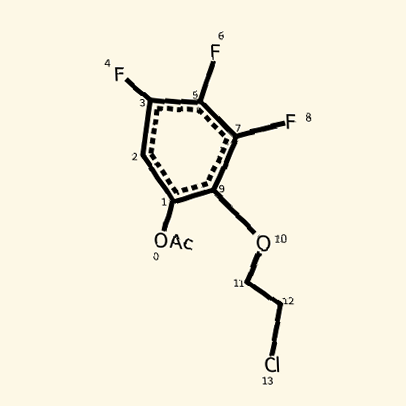 CC(=O)Oc1cc(F)c(F)c(F)c1OCCCl